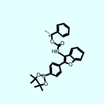 C[C@@H](OC(=O)Nc1c(-c2ccc(B3OC(C)(C)C(C)(C)O3)cc2)oc2ccccc12)c1ccccc1